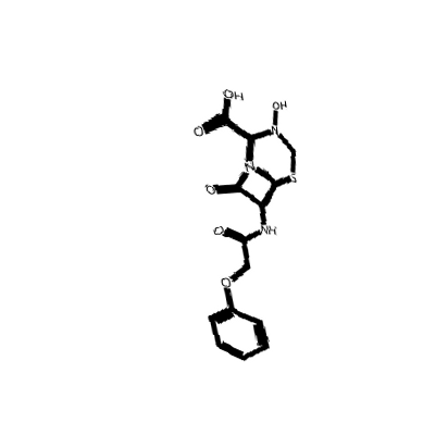 O=C(COc1ccccc1)NC1C(=O)N2C1SCN(O)C2C(=O)O